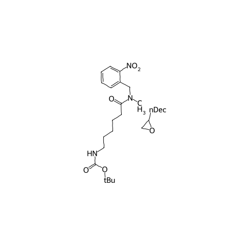 CCCCCCCCCCC1CO1.CN(Cc1ccccc1[N+](=O)[O-])C(=O)CCCCCNC(=O)OC(C)(C)C